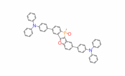 CP1(=O)c2ccc(-c3ccc(N(c4ccccc4)c4ccccc4)cc3)cc2-c2oc3ccc(-c4ccc(N(c5ccccc5)c5ccccc5)cc4)cc3c21